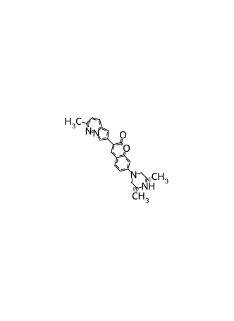 Cc1ccc2cc(-c3cc4ccc(N5C[C@@H](C)N[C@@H](C)C5)cc4oc3=O)cn2n1